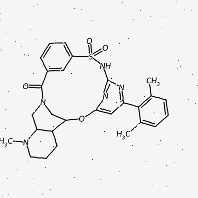 Cc1cccc(C)c1-c1cc2nc(n1)NS(=O)(=O)c1cccc(c1)C(=O)N1CC(O2)C2CCCN(C)C2C1